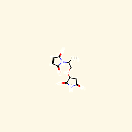 CC(COC1CC(=O)NC1=O)N1C(=O)C=CC1=O